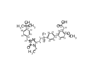 CCn1c(CCC(F)(F)c2ccc(-c3ccc(OC)c(CC(=O)O)c3)cc2)nn(Cc2ccc(C(C)(C)C)cc2)c1=O